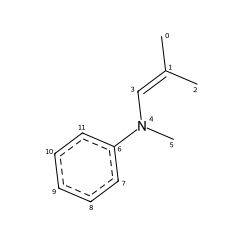 CC(C)=CN(C)c1ccccc1